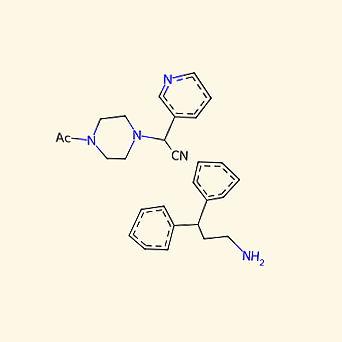 CC(=O)N1CCN(C(C#N)c2cccnc2)CC1.NCCC(c1ccccc1)c1ccccc1